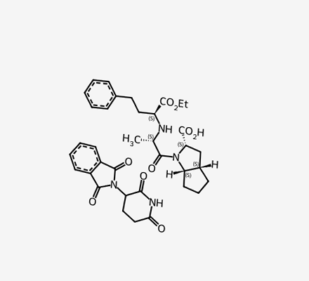 CCOC(=O)[C@H](CCc1ccccc1)N[C@@H](C)C(=O)N1[C@H](C(=O)O)C[C@@H]2CCC[C@@H]21.O=C1CCC(N2C(=O)c3ccccc3C2=O)C(=O)N1